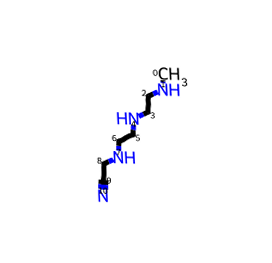 CNCCNCCNCC#N